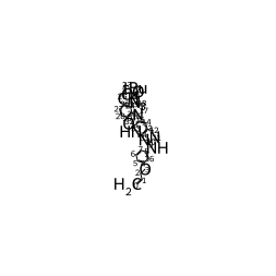 C=CCOc1cccc(Nc2ncc3cc(N4CCN(C(=O)OC(C)(C)C)c5c(C)cccc54)c(=O)[nH]c3n2)c1